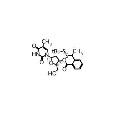 Cc1cn([C@H]2C[C@@H](OC(=O)c3ccccc3C(C)SSC(C)(C)C)[C@@H](CO)O2)c(=O)[nH]c1=O